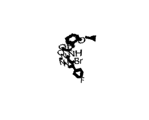 O=C(O)[C@@H](Cc1ccccc1OCC1CC1)Nc1ncnn2cc(-c3ccc(F)cc3)c(Br)c12